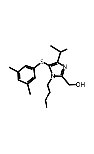 CCCCn1c(CO)nc(C(C)C)c1Sc1cc(C)cc(C)c1